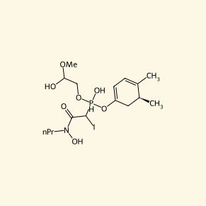 CCCN(O)C(=O)C(I)[PH](O)(OCC(O)OC)OC1=CC=C(C)[C@@H](C)C1